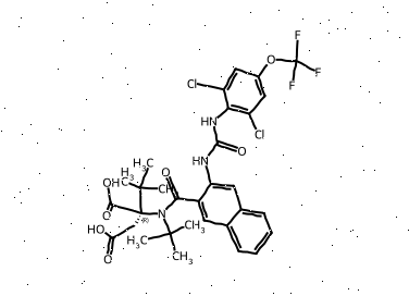 CC(C)(C)N(C(=O)c1cc2ccccc2cc1NC(=O)Nc1c(Cl)cc(OC(F)(F)F)cc1Cl)[C@@](CC(=O)O)(C(=O)O)C(C)(C)C